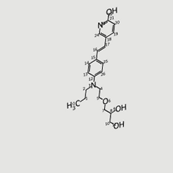 CCCN(CCOCC(O)CO)c1ccc(/C=C/c2ccc(O)nc2)cc1